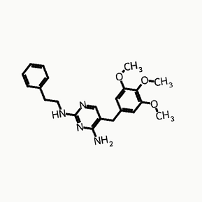 COc1cc(Cc2cnc(NCCc3ccccc3)nc2N)cc(OC)c1OC